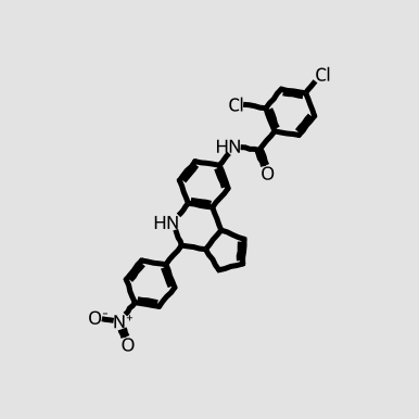 O=C(Nc1ccc2c(c1)C1C=CCC1C(c1ccc([N+](=O)[O-])cc1)N2)c1ccc(Cl)cc1Cl